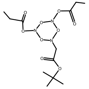 CCC(=O)ON1ON(CC(=O)OC(C)(C)C)ON(OC(=O)CC)O1